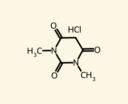 CN1C(=O)CC(=O)N(C)C1=O.Cl